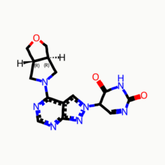 O=C1N=CC(n2cc3c(N4C[C@@H]5COC[C@H]5C4)ncnc3n2)C(=O)N1